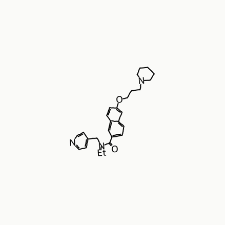 CCN(Cc1ccncc1)C(=O)c1ccc2cc(OCCCN3CCCCC3)ccc2c1